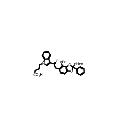 CCCCCCC1(c2ccccc2)Oc2ccc(CC(=O)c3cn(CCCC(=O)O)c4ccccc34)c(CCC)c2O1